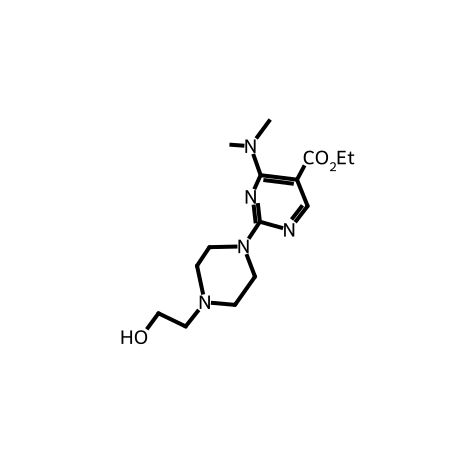 CCOC(=O)c1cnc(N2CCN(CCO)CC2)nc1N(C)C